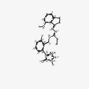 CCC(=N/N=C1\CCc2cccc(OC)c21)OCc1c(C)cccc1-n1nnn(C)c1=O